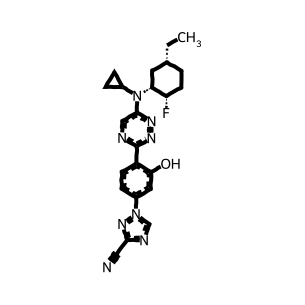 CC[C@@H]1CC[C@H](F)[C@H](N(c2cnc(-c3ccc(-n4cnc(C#N)n4)cc3O)nn2)C2CC2)C1